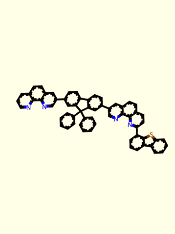 c1ccc(C2(c3ccccc3)c3cc(-c4cnc5c(ccc6cccnc65)c4)ccc3-c3ccc(-c4cnc5c(ccc6ccc(-c7cccc8c7sc7ccccc78)nc65)c4)cc32)cc1